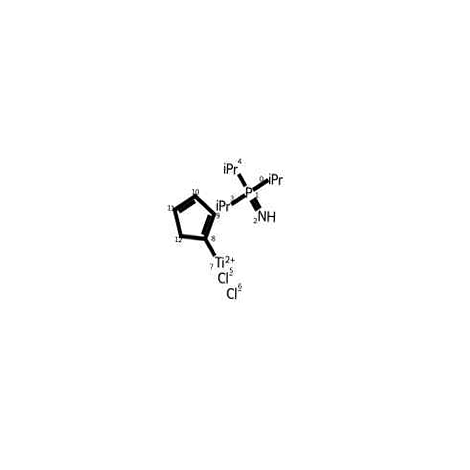 CC(C)P(=N)(C(C)C)C(C)C.[Cl-].[Cl-].[Ti+2][C]1=CC=CC1